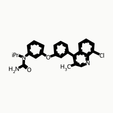 Cc1cnc2c(Cl)cccc2c1-c1cccc(Oc2cccc(N(C(N)=O)C(C)C)c2)c1